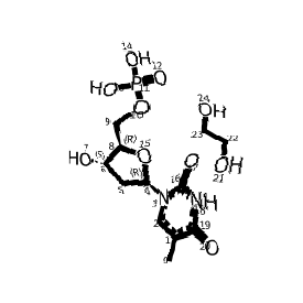 Cc1cn([C@H]2C[C@H](O)[C@@H](COP(=O)(O)O)O2)c(=O)[nH]c1=O.OCCO